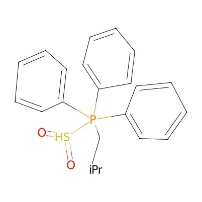 CC(C)CP(c1ccccc1)(c1ccccc1)(c1ccccc1)[SH](=O)=O